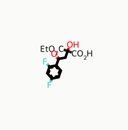 CCOC(=O)C(O)(CC(=O)c1ccc(F)cc1F)C(=O)O